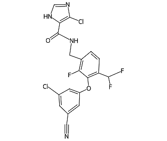 N#Cc1cc(Cl)cc(Oc2c(C(F)F)ccc(CNC(=O)c3[nH]cnc3Cl)c2F)c1